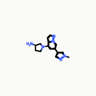 Cn1cc(-c2cc(N3CC[C@@H](N)C3)c3ccnn3c2)cn1